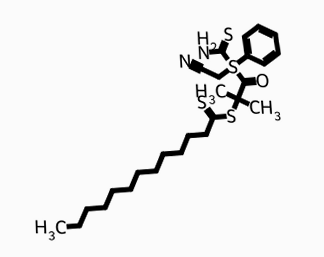 CCCCCCCCCCCCC(=S)SC(C)(C)C(=O)S(CC#N)(C(N)=S)c1ccccc1